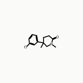 CN1CC(C)(c2cccc(Cl)c2)CCC1=O